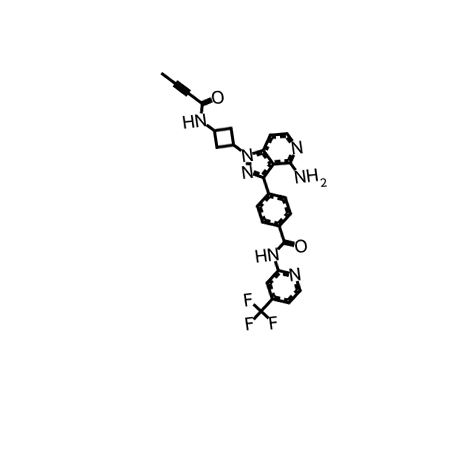 CC#CC(=O)NC1CC(n2nc(-c3ccc(C(=O)Nc4cc(C(F)(F)F)ccn4)cc3)c3c(N)nccc32)C1